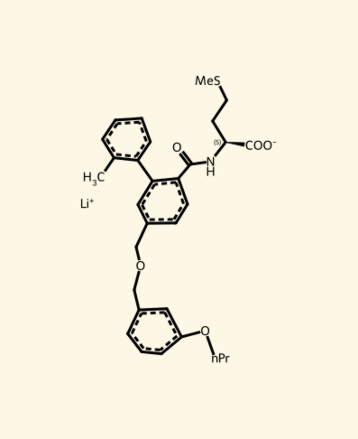 CCCOc1cccc(COCc2ccc(C(=O)N[C@@H](CCSC)C(=O)[O-])c(-c3ccccc3C)c2)c1.[Li+]